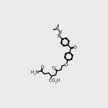 CN(C)/N=N/c1ccc(C(=O)c2ccc(OCCC(=O)CC(CCC(N)=O)C(=O)O)cc2)cc1